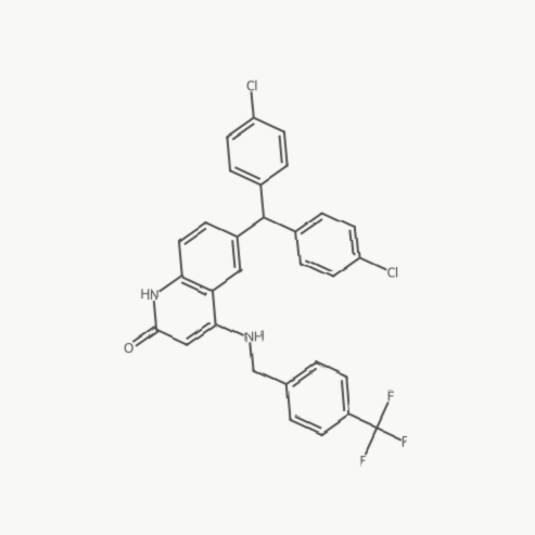 O=c1cc(NCc2ccc(C(F)(F)F)cc2)c2cc(C(c3ccc(Cl)cc3)c3ccc(Cl)cc3)ccc2[nH]1